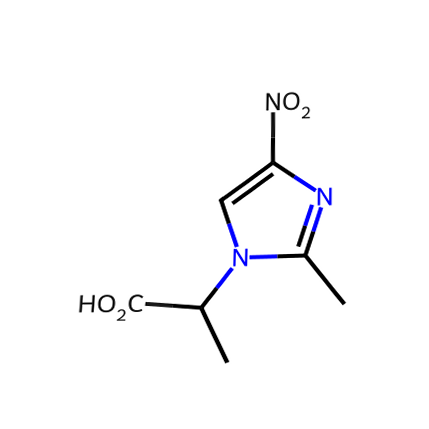 Cc1nc([N+](=O)[O-])cn1C(C)C(=O)O